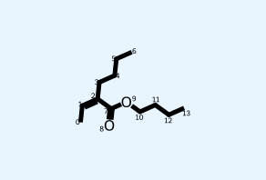 CC=C(CCCC)C(=O)OCCCC